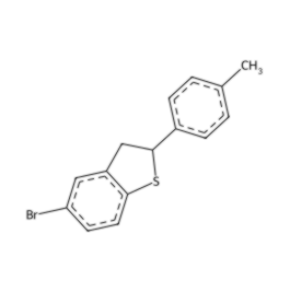 Cc1ccc(C2Cc3cc(Br)ccc3S2)cc1